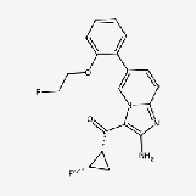 Nc1nc2ccc(-c3ccccc3OCCF)cn2c1C(=O)[C@@H]1C[C@@H]1F